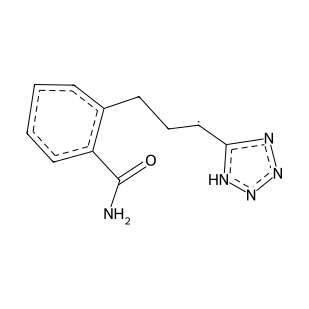 NC(=O)c1ccccc1CC[CH]c1nnn[nH]1